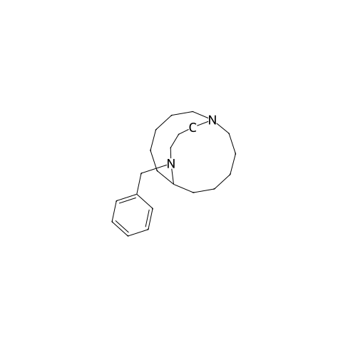 c1ccc(CN2CCCN3CCCCCC2CCCCC3)cc1